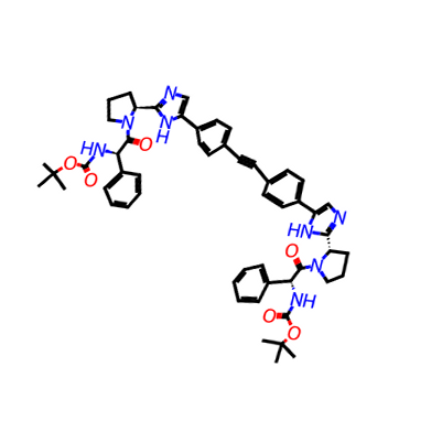 CC(C)(C)OC(=O)N[C@@H](C(=O)N1CCC[C@H]1c1ncc(-c2ccc(C#Cc3ccc(-c4cnc([C@@H]5CCCN5C(=O)[C@H](NC(=O)OC(C)(C)C)c5ccccc5)[nH]4)cc3)cc2)[nH]1)c1ccccc1